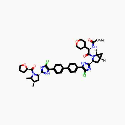 COC(=O)N[C@H](C(=O)N1[C@@H]2C[C@@H]2C[C@H]1c1nc(Cl)c(-c2ccc(-c3ccc(-c4[nH]c([C@@H]5C[C@@H](C)C(C)N5C(=O)[C@H]5CCCO5)nc4Cl)cc3)cc2)[nH]1)C1CCOCC1